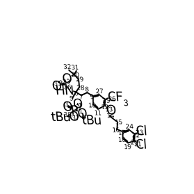 CC(C)(C)OP(=O)(OCC1(CCc2ccc(OCCCc3ccc(Cl)c(Cl)c3)c(C(F)(F)F)c2)CCC(C)(C)OC(=O)N1)OC(C)(C)C